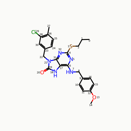 CCCSc1nc(NCc2ccc(OC)cc2)c2[nH]c(=O)n(Cc3ccc(C)c(Cl)c3)c2n1